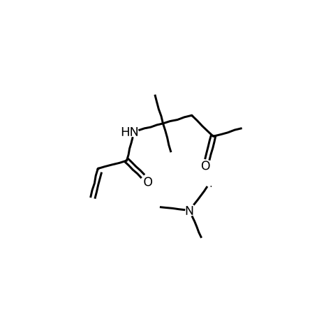 C=CC(=O)NC(C)(C)CC(C)=O.[CH2]N(C)C